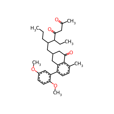 CCCC(CC1CC(=O)c2c(C)ccc(-c3cc(OC)ccc3OC)c2C1)C(CC)C(=O)CC(C)=O